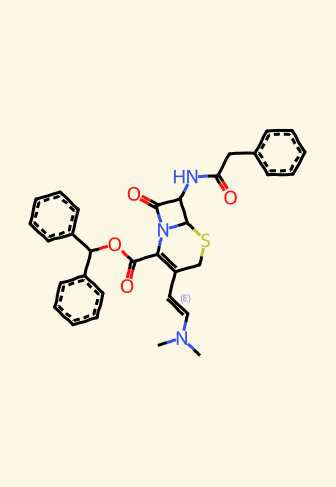 CN(C)/C=C/C1=C(C(=O)OC(c2ccccc2)c2ccccc2)N2C(=O)C(NC(=O)Cc3ccccc3)C2SC1